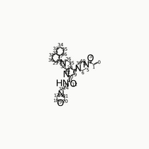 C=CC(=O)N1CCN(c2cc(C(=O)NCCN3CCOCC3)nc3c2CCN(c2cccc4ccccc24)C3)CC1